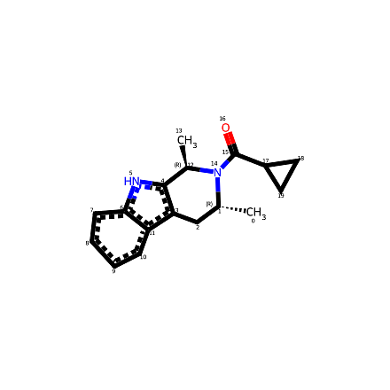 C[C@@H]1Cc2c([nH]c3ccccc23)[C@@H](C)N1C(=O)C1CC1